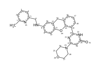 Cc1cccc(CNc2ccc3c(c2)Cc2cccc(-c4nc(N5CCOCC5)cc(=O)[nH]4)c2O3)n1